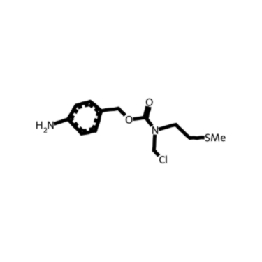 CSCCN(CCl)C(=O)OCc1ccc(N)cc1